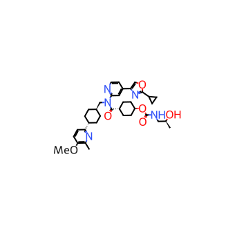 COc1ccc([C@H]2CC[C@H](CN(c3cc(-c4coc(C5CC5)n4)ccn3)C(=O)[C@H]3CC[C@H](OC(=O)NC[C@H](C)O)CC3)CC2)nc1C